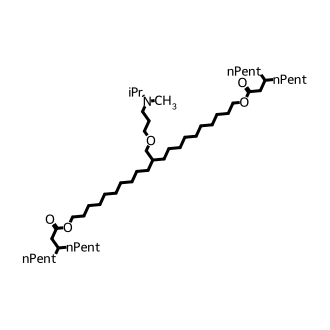 CCCCCC(CCCCC)CC(=O)OCCCCCCCCCCC(CCCCCCCCCCOC(=O)CC(CCCCC)CCCCC)COCCCN(C)C(C)C